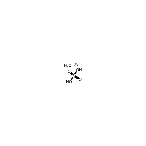 O.O=S(=O)(O)O.[Dy]